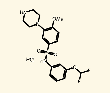 COc1ccc(S(=O)(=O)Nc2cccc(OC(F)F)c2)cc1N1CCNCC1.Cl